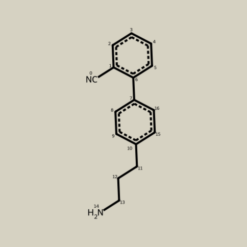 N#Cc1ccccc1-c1ccc(CCCN)cc1